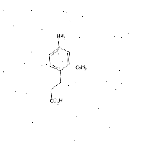 Nc1ccc(CCC(=O)O)cc1.[CaH2]